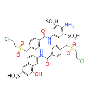 Nc1c(S(=O)(=O)O)cc(NC(=O)c2ccc(CS(=O)(=O)CCCl)cc2)cc1S(=O)(=O)O.O=C(Nc1ccc2cc(S(=O)(=O)O)cc(O)c2c1)c1ccc(CS(=O)(=O)CCCl)cc1